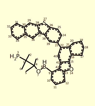 CC(C)(P)C(C)(C)OBc1cccc2oc3c4ccccc4c(-c4ccc5sc6cc7ccccc7cc6c5c4)cc3c12